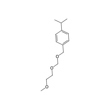 COCCOCOCc1ccc(C(C)C)cc1